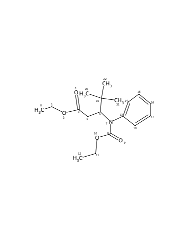 CCOC(=O)CC(N(C(=O)OCC)c1ccccc1)C(C)(C)C